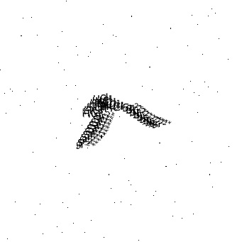 Cl.Cl.Cl.Cl.Cl.Cl.Cl.Cl.Cl.[Sr+2].[Sr+2].[Sr+2].[Sr+2].[Sr+2].[Sr+2].[Sr+2].[Sr+2].[Sr+2].[Sr+2].[Sr+2].[Sr+2].[Sr+2].[Sr+2].[Sr+2].[Sr+2].[Sr+2].[Sr+2].[Sr+2].[Sr+2].[Sr+2]